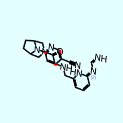 N#Cc1ccc(N2C3CCC2CN(C(=O)CNCc2ccc/c(=N/C=N)[nH]2)C3)nc1